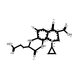 O=C(O)CCC1Nc2c(F)cc3c(=O)c(C(=O)O)cn(C4CC4)c3c2NC1=O